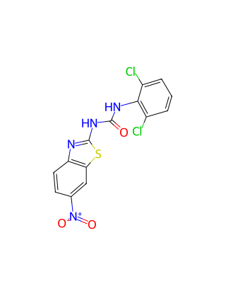 O=C(Nc1nc2ccc([N+](=O)[O-])cc2s1)Nc1c(Cl)cccc1Cl